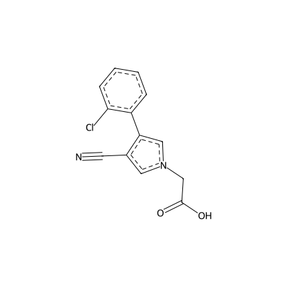 N#Cc1cn(CC(=O)O)cc1-c1ccccc1Cl